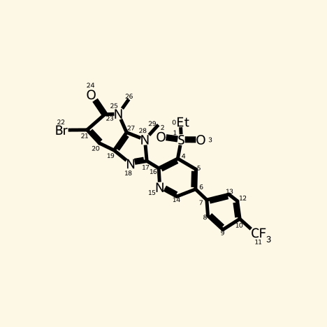 CCS(=O)(=O)c1cc(-c2ccc(C(F)(F)F)cc2)cnc1-c1nc2cc(Br)c(=O)n(C)c2n1C